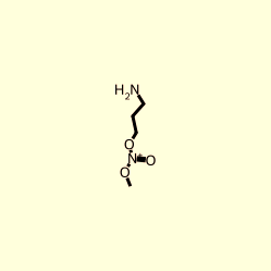 CO[N+](=O)OCCCN